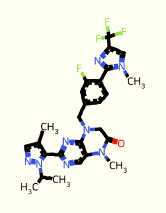 Cc1cnn(C(C)C)c1-c1ncc2c(n1)N(Cc1ccc(-c3nc(C(F)(F)F)cn3C)c(F)c1)CC(=O)N2C